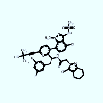 Cn1nc(NS(C)(=O)=O)c2c(Cl)ccc(-c3ccc(C#CC(C)(C)O)nc3[C@H](Cc3cc(F)cc(F)c3)NC(=O)Cn3nc4c(c3Cl)CCCC4)c21